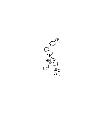 CC1(C)OB(c2cccc([C@H](CCC#N)NC(=O)N3CCc4c(cccc4-c4ccc(C(F)(F)F)cc4)C3)c2)OC1(C)C